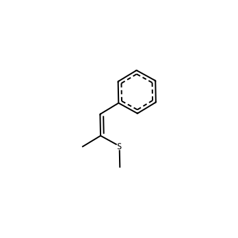 CS/C(C)=C\c1ccccc1